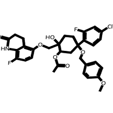 COc1ccc(COC2(c3ccc(Cl)cc3F)CCC(O)(COc3ccc(F)c4c3CCC(=O)N4)C(OC(C)=O)C2)cc1